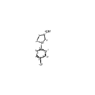 O[C@H]1CCN(c2ncc(Br)cn2)C1